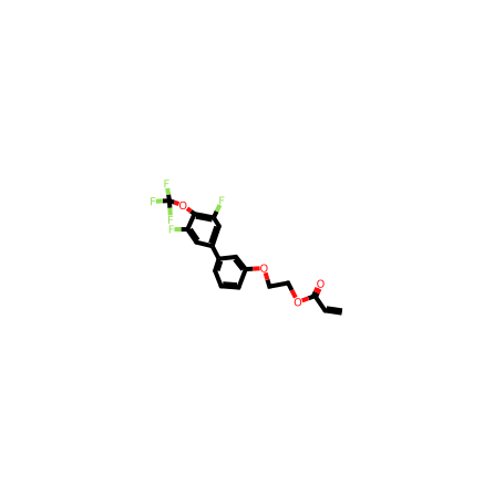 C=CC(=O)OCCOc1cccc(-c2cc(F)c(OC(F)(F)F)c(F)c2)c1